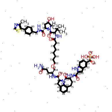 Cc1ncsc1-c1ccc(CNC(=O)[C@@H]2C[C@@H](O)CN2C(=O)[C@@H](NC(=O)CCCCCCCOC[C@H](CCC(N)=O)NC(=O)[C@@H]2Cc3cccc4c3N2C(=O)[C@@H](NC(=O)c2cc3cc(C(=O)P(=O)(O)O)ccc3[nH]2)CC4)C(C)(C)C)cc1